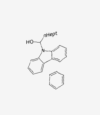 CCCCCCCC(O)n1c2ccccc2c2ccccc21.c1ccccc1